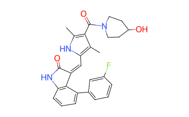 Cc1[nH]c(/C=C2\C(=O)Nc3cccc(-c4cccc(F)c4)c32)c(C)c1C(=O)N1CCC(O)CC1